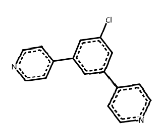 Clc1cc(-c2ccncc2)cc(-c2ccncc2)c1